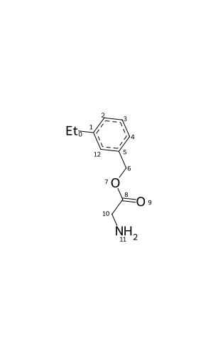 CCc1cccc(COC(=O)CN)c1